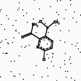 C[S+]([O-])c1ccc(Cl)nc1C(N)=O